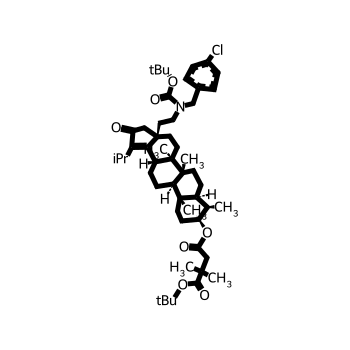 CC(C)C1=C2[C@H]3CC[C@@H]4[C@@]5(C)CC[C@H](OC(=O)CC(C)(C)C(=O)OC(C)(C)C)[C@H](C)[C@@H]5CC[C@@]4(C)[C@]3(C)CC[C@@]2(CCN(Cc2ccc(Cl)cc2)C(=O)OC(C)(C)C)CC1=O